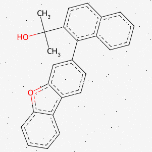 CC(C)(O)c1ccc2ccccc2c1-c1ccc2c(c1)oc1ccccc12